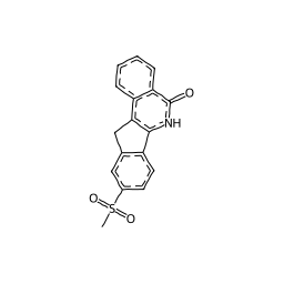 CS(=O)(=O)c1ccc2c(c1)Cc1c-2[nH]c(=O)c2ccccc12